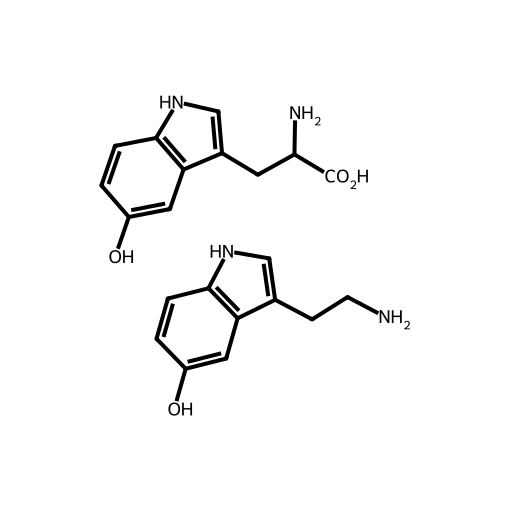 NC(Cc1c[nH]c2ccc(O)cc12)C(=O)O.NCCc1c[nH]c2ccc(O)cc12